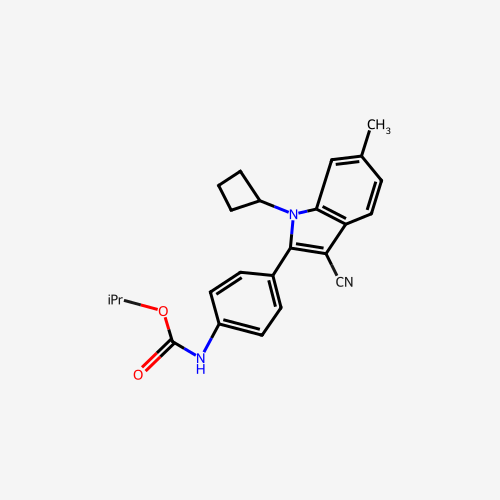 Cc1ccc2c(C#N)c(-c3ccc(NC(=O)OC(C)C)cc3)n(C3CCC3)c2c1